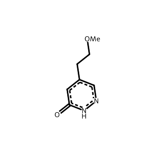 COCCc1cn[nH]c(=O)c1